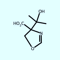 CC(C)(O)C1(C(=O)O)COC=N1